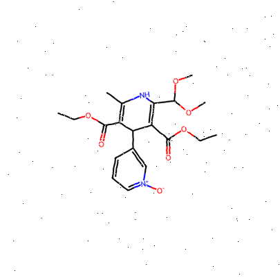 CCOC(=O)C1=C(C)NC(C(OC)OC)=C(C(=O)OCC)C1c1ccc[n+]([O-])c1